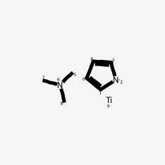 C1=C[N]C=C1.CN(C)C.[Ti]